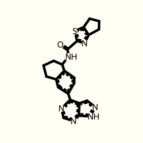 O=C(NC1CCCc2cc(-c3ncnc4[nH]ncc34)ccc21)c1nc2c(s1)CCC2